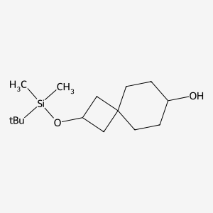 CC(C)(C)[Si](C)(C)OC1CC2(CCC(O)CC2)C1